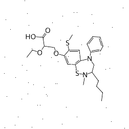 CCCCC1CN(c2ccccc2)c2cc(SC)c(OCC(OCC)C(=O)O)cc2SN1C